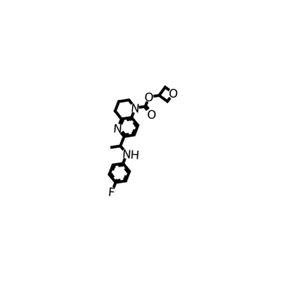 CC(Nc1ccc(F)cc1)c1ccc2c(n1)CCCN2C(=O)OC1COC1